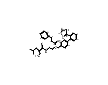 CC(C)CC(CS)C(=O)NCCN(Cc1ccc(-c2ccccc2-c2nnn[nH]2)cc1)C(=O)CCc1ccccc1